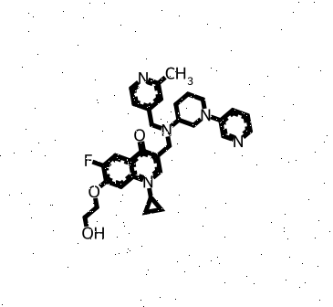 Cc1cc(CN(Cc2cn(C3CC3)c3cc(OCCO)c(F)cc3c2=O)C2CCCN(c3cccnc3)C2)ccn1